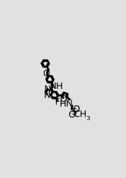 CS(=O)(=O)CCNCc1ccc(-c2cc3c(Nc4ccc(OCc5ccccc5)cc4)ncnc3cc2F)o1